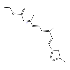 CCOC(=O)/C=C(\C)C=CC=C(C)C=Cc1ccc(C)s1